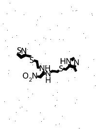 Cc1nc[nH]c1CSCCNC(=C[N+](=O)[O-])NCCSCc1ccsn1